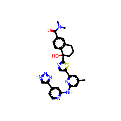 Cc1cc(Nc2cc(-c3c[nH]nn3)ccn2)nc(-c2cnc(C3(O)CCCc4cc(C(=O)N(C)C)ccc43)s2)c1